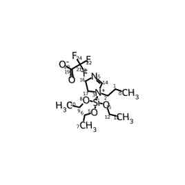 CCC[N+]1([Si](OCC)(OCC)OCC)C=NCC1.O=C([O-])C(F)(F)F